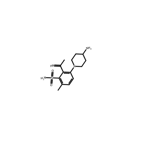 CC(=N)c1c(N2CCC(N)CC2)ccc(C)c1S(N)(=O)=O